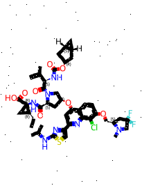 C=C(C)[C@H](NC(=O)O[C@@H]1C[C@@H]2C[C@@H]2C1)C(=O)N1C[C@H](Oc2cc(-c3csc(NC(C)C)n3)nc3c(Cl)c(OC[C@@H]4CC(F)(F)CN4C)ccc23)C[C@H]1C(=O)N[C@]1(C(=O)O)C[C@H]1CC